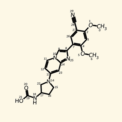 COc1cc(OC)c(-c2cn3ccc(N4CCC(NC(=O)O)C4)cc3n2)cc1C#N